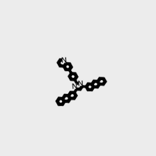 c1ccc2cc3cc(-c4cc(-c5ccc6cc7ccccc7cc6c5)nc(-c5ccc(-c6ccc7ncccc7c6)cc5)n4)ccc3cc2c1